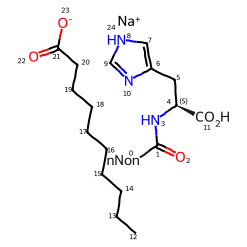 CCCCCCCCCC(=O)N[C@@H](Cc1c[nH]cn1)C(=O)O.CCCCCCCCCC(=O)[O-].[Na+]